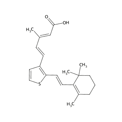 CC(C=Cc1ccsc1C=CC1=C(C)CCCC1(C)C)=CC(=O)O